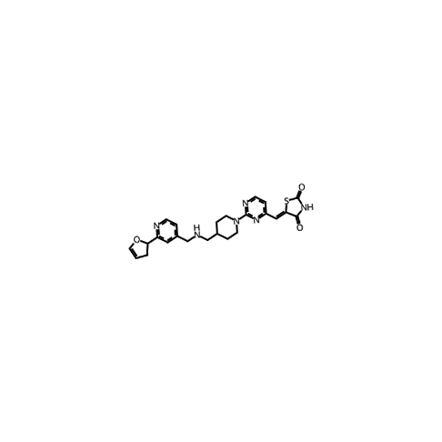 O=C1NC(=O)/C(=C/c2ccnc(N3CCC(CNCc4ccnc(C5CC=CO5)c4)CC3)n2)S1